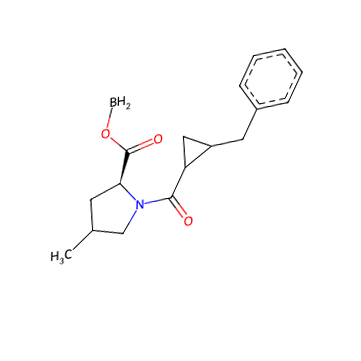 BOC(=O)[C@@H]1CC(C)CN1C(=O)C1CC1Cc1ccccc1